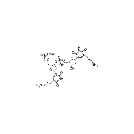 COP(=O)(O)OCC1OC(n2cc(C/C=C/N)c(=O)[nH]c2=O)CC1OP(=O)(O)OCC1OC(n2cc(C/C=C/N)c(=O)[nH]c2=O)CC1O